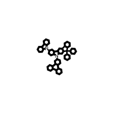 c1ccc(C2(c3ccccc3)c3ccccc3-c3cc4c5cc(-n6c7ccccc7c7ccccc76)ccc5n(-c5ccc6c7ccccc7c7ccccc7c6c5)c4cc32)cc1